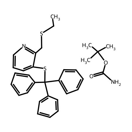 CC(C)(C)OC(N)=O.CCSCc1ncccc1SC(c1ccccc1)(c1ccccc1)c1ccccc1